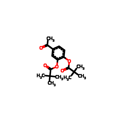 CC(=O)c1ccc(OC(=O)C(C)(C)C)c(OC(=O)C(C)(C)C)c1